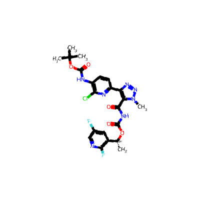 C[C@@H](OC(=O)NC(=O)c1c(-c2ccc(NC(=O)OC(C)(C)C)c(Cl)n2)nnn1C)c1cc(F)cnc1F